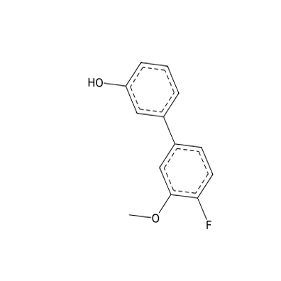 COc1cc(-c2cccc(O)c2)ccc1F